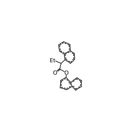 CCC(C(=O)Oc1cccc2ccccc12)c1cccc2ccccc12